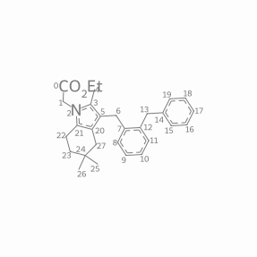 CCOC(=O)Cn1c(C)c(Cc2ccccc2Cc2ccccc2)c2c1CCC(C)(C)C2